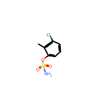 Cc1c(Cl)cccc1OS(N)(=O)=O